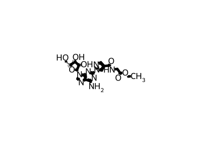 CCOC(=O)CNC(=O)c1cnn(-c2nc(N)c3ncn(C4O[C@H](CO)[C@@H](O)[C@H]4O)c3n2)c1